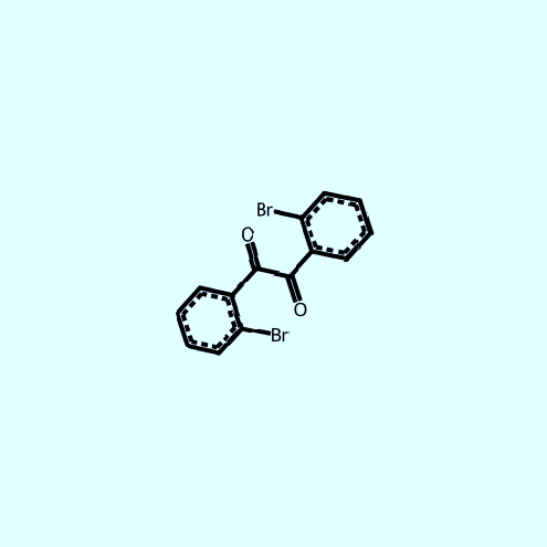 O=C(C(=O)c1ccccc1Br)c1ccccc1Br